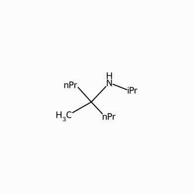 CCCC(C)(CCC)NC(C)C